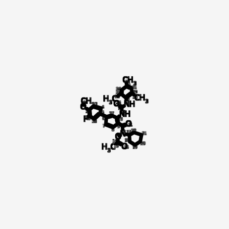 COc1ccc(-c2ccc(C(=O)N(OC(C)=O)C3CCCCC3)c(NC(=O)Nc3c(C)cc(C)cc3C)c2)cc1F